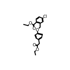 CCOC(=O)Cc1ccc(OCc2cc(Cl)ccc2C(=O)OCC)cc1